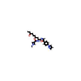 CCC(=O)CCCCCC(NC(=O)C1CN(C)C1)c1ncc(-c2ccc(-n3cccn3)cc2)o1